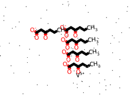 CCCC(=O)CC(=O)[O-].CCCC(=O)CC(=O)[O-].CCCC(=O)CC(=O)[O-].CCCC(=O)CC(=O)[O-].CCCC(=O)CC(=O)[O-].[V+5]